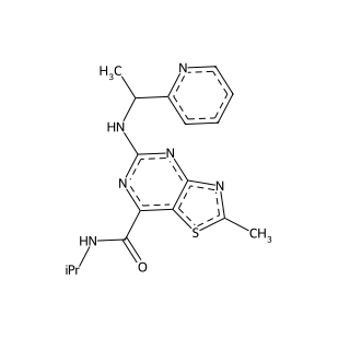 Cc1nc2nc(NC(C)c3ccccn3)nc(C(=O)NC(C)C)c2s1